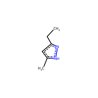 CCc1cc(C)[nH]n1